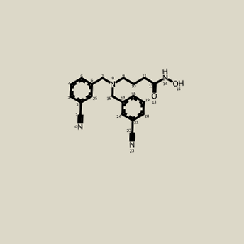 N#Cc1cccc(CN(CCCC(=O)NO)Cc2cccc(C#N)c2)c1